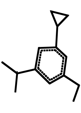 CCc1cc([C](C)C)cc(C2CC2)c1